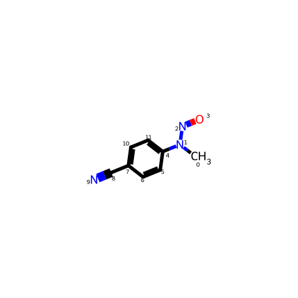 CN(N=O)c1ccc(C#N)cc1